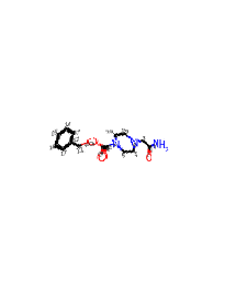 NC(=O)CN1CCN(C(=O)OCc2ccccc2)CC1